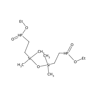 CCO[PH](=O)CC[Si](C)(C)O[Si](C)(C)CC[PH](=O)OCC